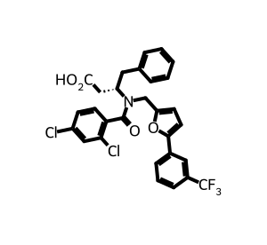 O=C(O)C[C@H](Cc1ccccc1)N(Cc1ccc(-c2cccc(C(F)(F)F)c2)o1)C(=O)c1ccc(Cl)cc1Cl